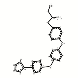 N[C@H](CO)Cc1ccc(Oc2ccc(Oc3ccc(-c4nccs4)cc3)cc2)cc1